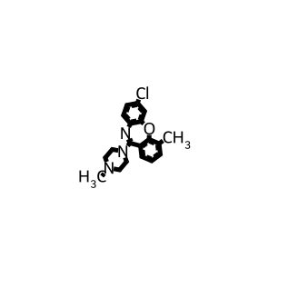 Cc1cccc2c1Oc1cc(Cl)ccc1N=C2N1CCN(C)CC1